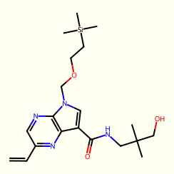 C=Cc1cnc2c(n1)c(C(=O)NCC(C)(C)CO)cn2COCC[Si](C)(C)C